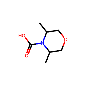 CC1COCC(C)N1C(=O)O